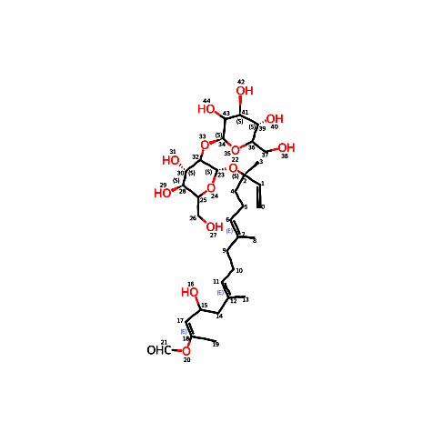 C=C[C@](C)(CC/C=C(\C)CC/C=C(\C)CC(O)/C=C(\C)OC=O)O[C@@H]1OC(CO)[C@@H](O)[C@H](O)C1O[C@@H]1OC(CO)[C@@H](O)[C@H](O)C1O